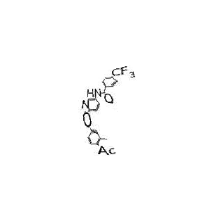 CC(=O)c1ccc(Oc2ccc(NC(=O)c3ccc(C(F)(F)F)cc3)cn2)cc1C